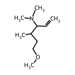 C=CC(C(C)CCOC)N(C)C